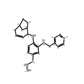 CC(C)(C)NSc1ccc(NC2C=CCC3CCC2C3)c(NCc2ccncc2)c1